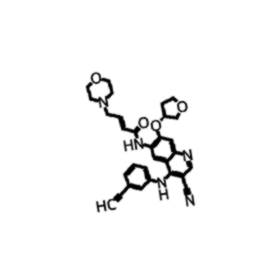 C#Cc1cccc(Nc2c(C#N)cnc3cc(O[C@H]4CCOC4)c(NC(=O)C=CCN4CCOCC4)cc23)c1